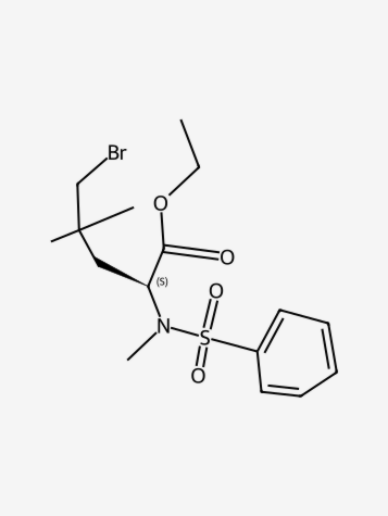 CCOC(=O)[C@H](CC(C)(C)CBr)N(C)S(=O)(=O)c1ccccc1